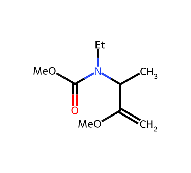 C=C(OC)C(C)N(CC)C(=O)OC